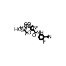 C[C@@H]1Oc2c(cn(C)c2C(=O)Nc2ccc(F)c(C#N)c2)S(=O)(=O)N[C@@H]1CO